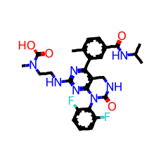 Cc1ccc(C(=O)NC(C)C)cc1-c1nc(NCCN(C)C(=O)O)nc2c1CNC(=O)N2c1c(F)cccc1F